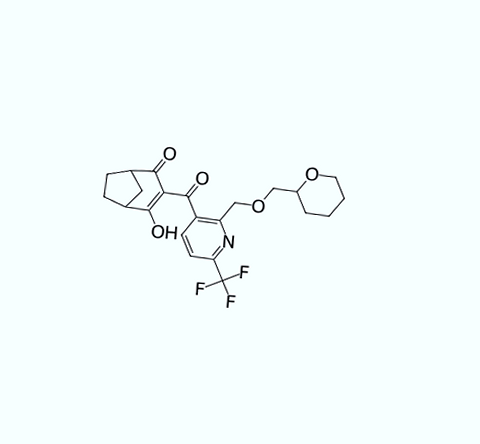 O=C(C1=C(O)C2CCC(C2)C1=O)c1ccc(C(F)(F)F)nc1COCC1CCCCO1